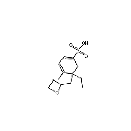 CCC1(CC2CCO2)CC(S(=O)(=O)O)=CC=C1C